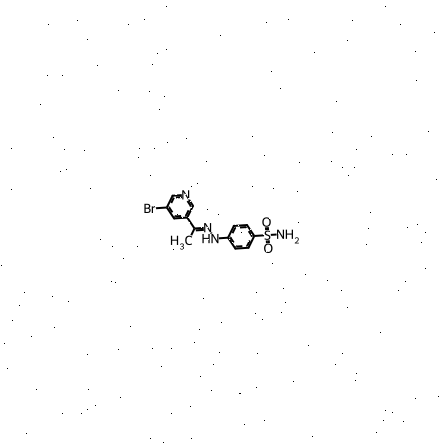 C/C(=N\Nc1ccc(S(N)(=O)=O)cc1)c1cncc(Br)c1